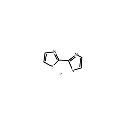 [Ir].c1csc(-c2nccs2)n1